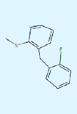 CSc1[c]cccc1Cc1ccccc1F